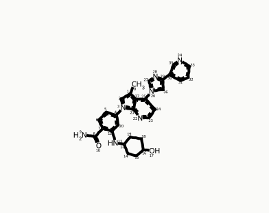 Cc1cn(-c2ccc(C(N)=O)c(NC3CCC(O)CC3)c2)c2nccc(-n3cnc(-c4cccnc4)c3)c12